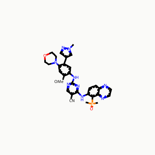 COc1cc(N2CCOCC2)c(-c2cnn(C)c2)cc1Nc1ncc(C#N)c(Nc2ccc3nccnc3c2P(C)(C)=O)n1